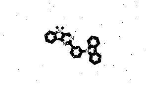 C[Si]1(C)c2ccccc2-c2nc(-c3cccc(-n4c5ccccc5c5ccccc54)c3)ncc21